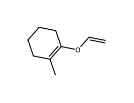 C=COC1=C(C)CCCC1